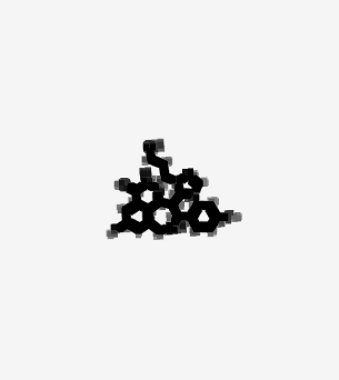 O=c1[nH]nc2c3c(cc(F)cc13)CNC(c1ccc(F)cc1)C2c1ncnn1CCCO